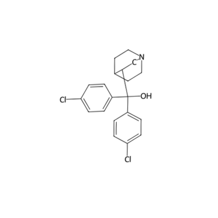 OC(c1ccc(Cl)cc1)(c1ccc(Cl)cc1)C1CN2CCC1CC2